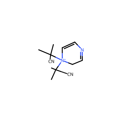 CC(C)(C#N)[N+]1(C(C)(C)C#N)C=CN=CC1